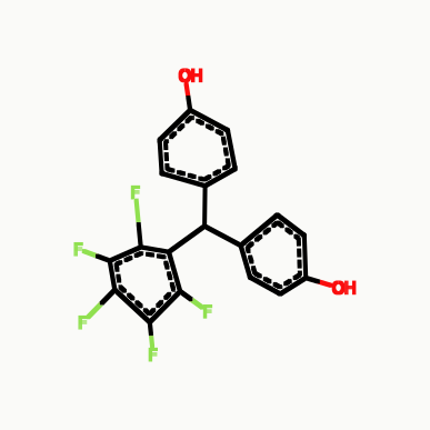 Oc1ccc(C(c2ccc(O)cc2)c2c(F)c(F)c(F)c(F)c2F)cc1